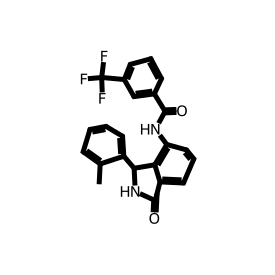 Cc1ccccc1C1NC(=O)c2cccc(NC(=O)c3cccc(C(F)(F)F)c3)c21